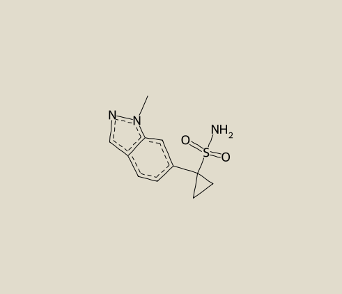 Cn1ncc2ccc(C3(S(N)(=O)=O)CC3)cc21